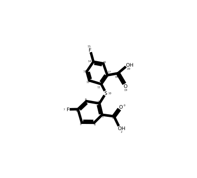 O=C(O)c1ccc(F)cc1Sc1ccc(F)cc1C(=O)O